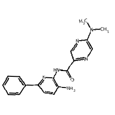 CN(C)c1cnc(C(=O)Nc2nc(-c3ccccc3)ccc2N)cn1